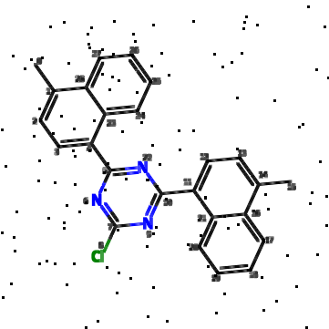 Cc1ccc(-c2nc(Cl)nc(-c3ccc(C)c4ccccc34)n2)c2ccccc12